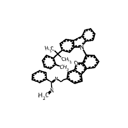 C=N/C(=N\Cc1ccc2c(c1)oc1c(-n3c4ccccc4c4ccc(C(C)(C)c5ccccc5C)cc43)cccc12)c1ccccc1